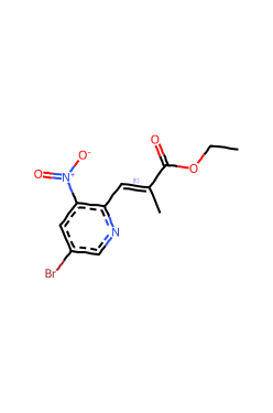 CCOC(=O)/C(C)=C/c1ncc(Br)cc1[N+](=O)[O-]